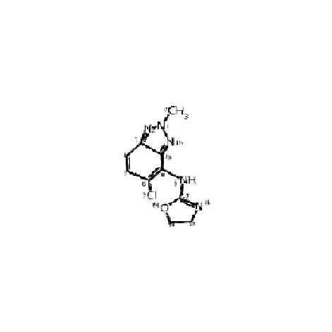 Cn1nc2ccc(Cl)c(NC3=NCCO3)c2n1